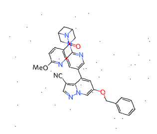 COc1ccc(C(=O)N2C3CC2CN(c2ccc(-c4cc(OCc5ccccc5)cn5ncc(C#N)c45)cn2)C3)cn1